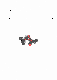 c1ccc(-c2nc(-c3ccccc3)nc(-c3ccc4c(c3)sc3cccc(-c5ccc6c(c5)c5cc7c(cc5n6-c5ccccc5)sc5ccccc57)c34)n2)cc1